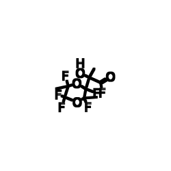 CC1(F)OC(F)(C(C)(O)C(=O)F)C(C)(F)OC1(F)F